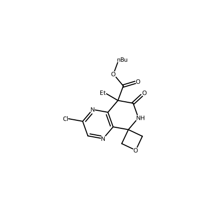 CCCCOC(=O)C1(CC)C(=O)NC2(COC2)c2ncc(Cl)nc21